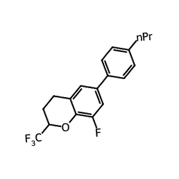 CCCc1ccc(-c2cc(F)c3c(c2)CCC(C(F)(F)F)O3)cc1